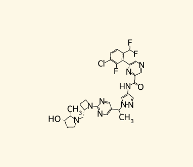 CC(c1cnc(N2CC[C@H]2CN2CC[C@H](O)[C@@H]2C)nc1)n1cc(NC(=O)c2cncc(-c3c(C(F)F)ccc(Cl)c3F)n2)cn1